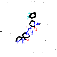 CN1C[C@H](c2cccc(F)c2F)CC[C@@H](NC(=O)N2CCC3(CC2)C(=O)Nc2ncccc23)C1=O